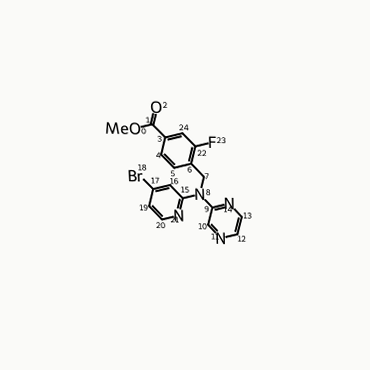 COC(=O)c1ccc(CN(c2cnccn2)c2cc(Br)ccn2)c(F)c1